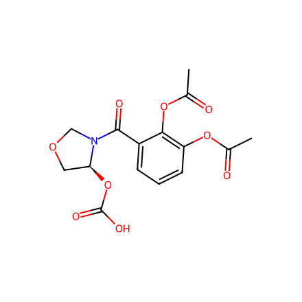 CC(=O)Oc1cccc(C(=O)N2COC[C@@H]2OC(=O)O)c1OC(C)=O